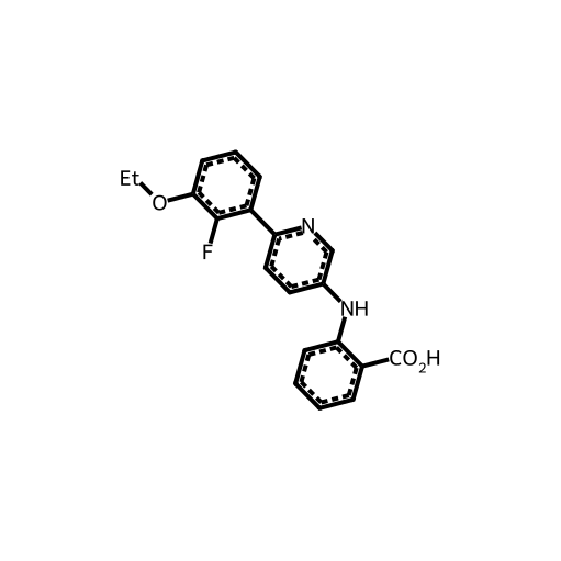 CCOc1cccc(-c2ccc(Nc3ccccc3C(=O)O)cn2)c1F